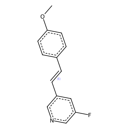 COc1ccc(/C=C/c2cncc(F)c2)cc1